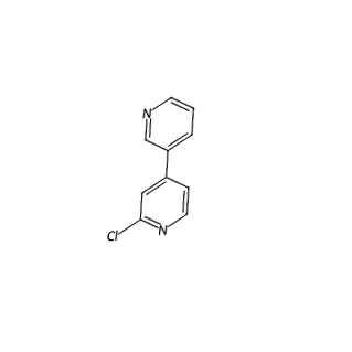 Clc1cc(-c2cccnc2)ccn1